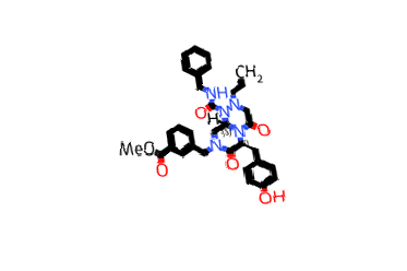 C=CCN1CC(=O)N2[C@@H](Cc3ccc(O)cc3)C(=O)N(Cc3cccc(C(=O)OC)c3)C[C@@H]2N1C(=O)NCc1ccccc1